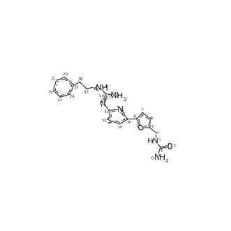 NC(=O)NCc1ccc(-c2csc(N=C(N)NCCc3ccccc3)n2)o1